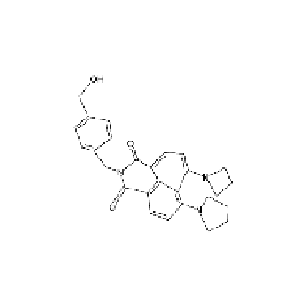 O=C1c2ccc(N3CCCC3)c3c(N4CCC4)ccc(c23)C(=O)N1Cc1ccc(CO)cc1